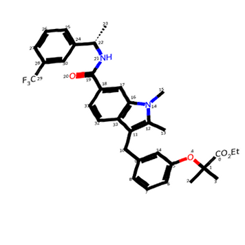 CCOC(=O)C(C)(C)Oc1cccc(Cc2c(C)n(C)c3cc(C(=O)N[C@@H](C)c4cccc(C(F)(F)F)c4)ccc23)c1